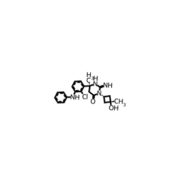 C[C@@]1(c2cccc(Nc3ccccc3)c2Cl)CC(=O)N([C@H]2C[C@@](C)(O)C2)C(=N)N1